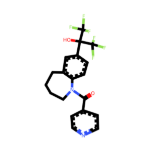 O=C(c1ccncc1)N1CCCCc2cc(C(O)(C(F)(F)F)C(F)(F)F)ccc21